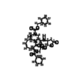 O=C1CC(NC(=O)[C@@H]2CN(C(=O)OCc3ccccc3)C[C@@H]3CC=CC[C@H](NC(=O)c4ccccc4)C(=O)N32)C(O)O1